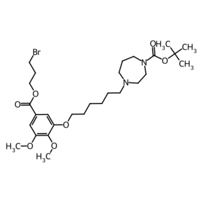 COc1cc(C(=O)OCCCBr)cc(OCCCCCCN2CCCN(C(=O)OC(C)(C)C)CC2)c1OC